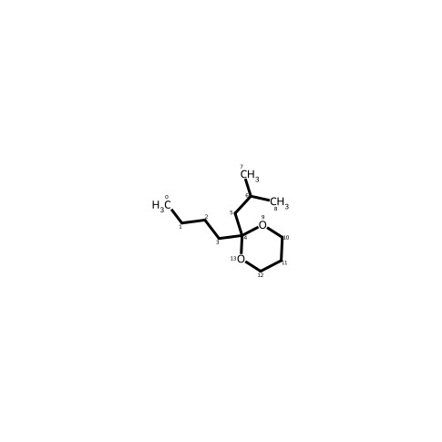 CCCCC1(CC(C)C)OCCCO1